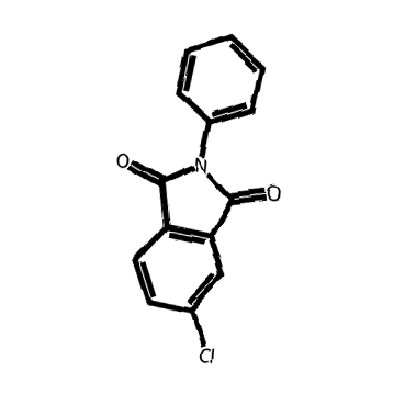 O=C1c2ccc(Cl)cc2C(=O)N1c1ccccc1